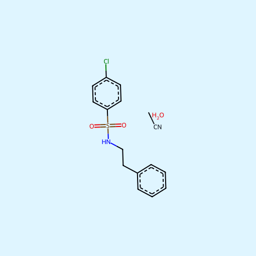 CC#N.O.O=S(=O)(NCCc1ccccc1)c1ccc(Cl)cc1